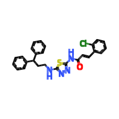 O=C(/C=C/c1ccccc1Cl)Nc1nnc(NCCC(c2ccccc2)c2ccccc2)s1